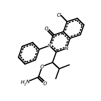 CC(C)C(OC(N)=O)c1nc2cccc(Cl)c2c(=O)n1-c1ccccc1